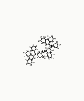 c1ccc(N(c2ccc3c(c2)Oc2cc(N(c4ccccc4)c4cc5ccccc5c5ccccc45)cc4cccc(c24)O3)c2cc3ccccc3c3ccccc23)cc1